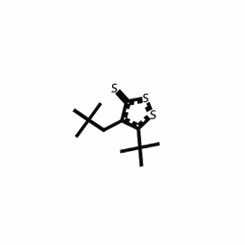 CC(C)(C)Cc1c(C(C)(C)C)ssc1=S